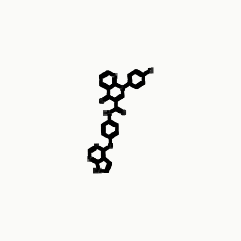 O=C(Nc1ccc(Oc2ncnc3[nH]ccc23)cc1)c1cn(-c2ccc(Cl)cc2)c2ncccc2c1=O